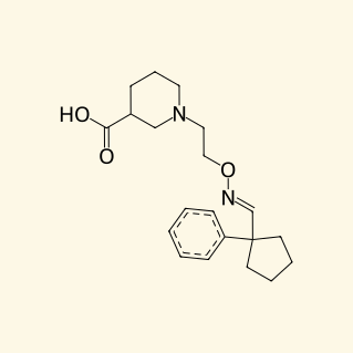 O=C(O)C1CCCN(CCON=CC2(c3ccccc3)CCCC2)C1